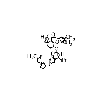 CO[C@@H]1[C@H](OC(=O)N[C@H](c2cn(C[C@@H]3CCN(CC(C)F)C3)cn2)C(C)C)CC[C@]2(CO2)[C@H]1[C@@]1(C)O[C@@H]1CC=C(C)C